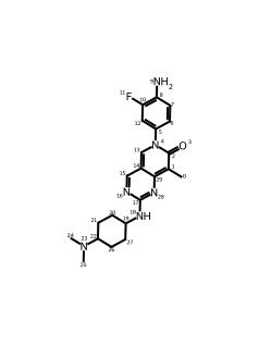 Cc1c(=O)n(-c2ccc(N)c(F)c2)cc2cnc(NC3CCC(N(C)C)CC3)nc12